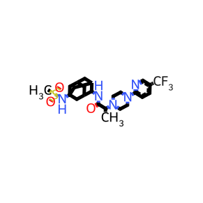 CC(C(=O)NC1C2CC3CC1CC(NS(C)(=O)=O)(C3)C2)N1CCN(c2ccc(C(F)(F)F)cn2)CC1